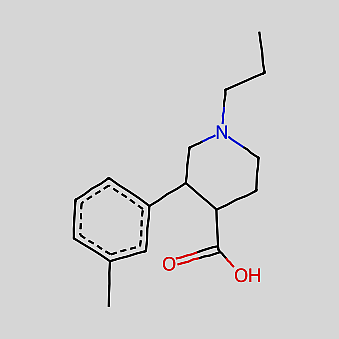 CCCN1CCC(C(=O)O)C(c2cccc(C)c2)C1